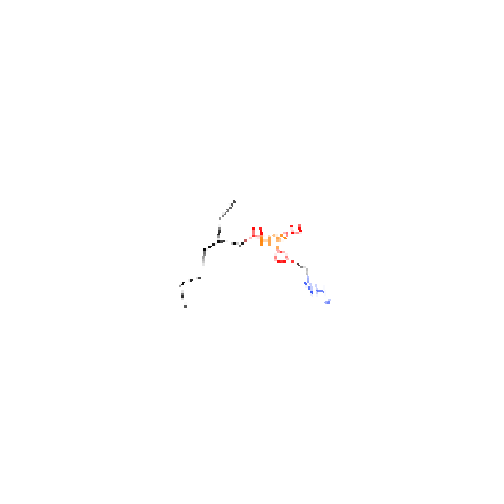 CCCCC(CC)CO[PH](=O)OCN